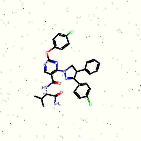 CC(C)[C@H](NC(=O)c1cnc(Oc2ccc(Cl)cc2)nc1N1CC(c2ccccc2)C(c2ccc(Cl)cc2)=N1)C(N)=O